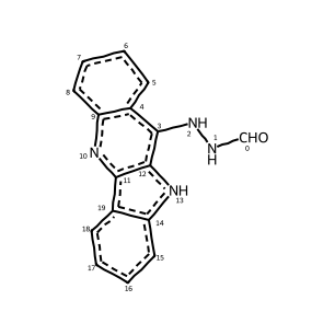 O=CNNc1c2ccccc2nc2c1[nH]c1ccccc12